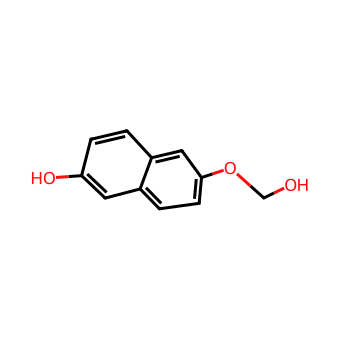 OCOc1ccc2cc(O)ccc2c1